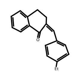 CCc1ccc(C=C2CCc3ccccc3C2=O)cc1